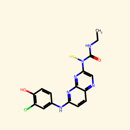 CCNC(=O)N(S)c1cnc2ccc(Nc3ccc(O)c(Cl)c3)nc2n1